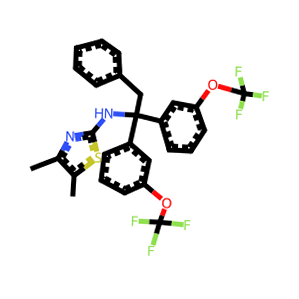 Cc1nc(NC(Cc2ccccc2)(c2cccc(OC(F)(F)F)c2)c2cccc(OC(F)(F)F)c2)sc1C